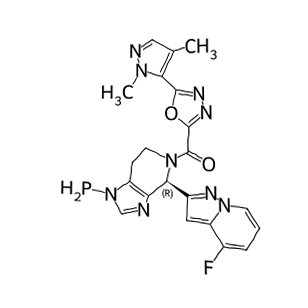 Cc1cnn(C)c1-c1nnc(C(=O)N2CCc3c(ncn3P)[C@@H]2c2cc3c(F)cccn3n2)o1